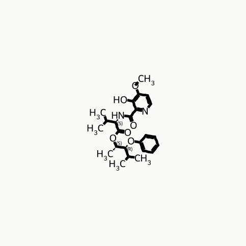 COc1ccnc(C(=O)N[C@H](C(=O)O[C@@H](C)[C@H](Oc2ccccc2)C(C)C)C(C)C)c1O